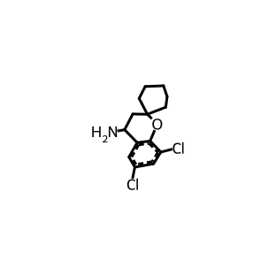 NC1CC2(CCCCC2)Oc2c(Cl)cc(Cl)cc21